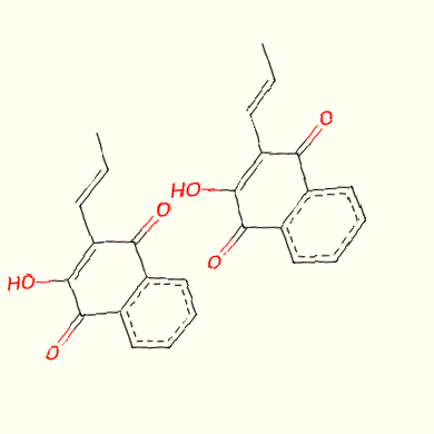 CC=CC1=C(O)C(=O)c2ccccc2C1=O.CC=CC1=C(O)C(=O)c2ccccc2C1=O